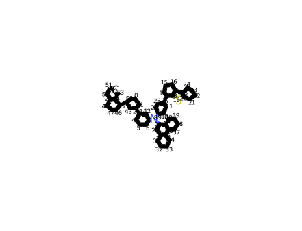 c1cc(-c2cccc(N(c3ccc(-c4cccc5c4sc4ccccc45)cc3)c3cc4ccccc4c4ccccc34)c2)cc(-c2cccc3ccccc23)c1